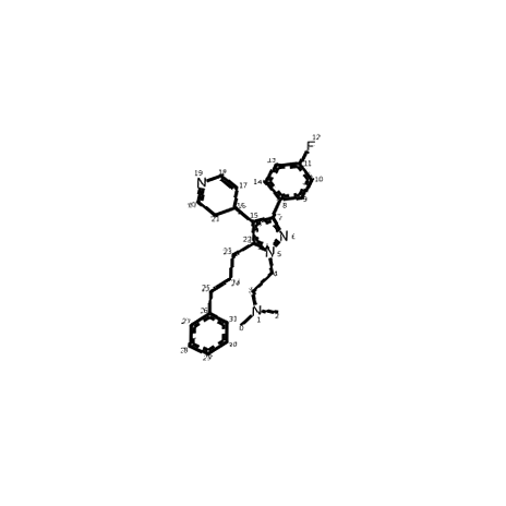 CN(C)CCn1nc(-c2ccc(F)cc2)c(C2C=CN=CC2)c1CCCc1ccccc1